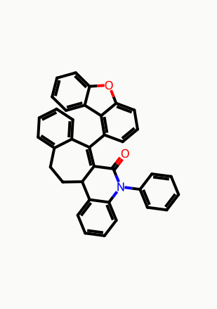 O=C1C2=C(c3cccc4oc5ccccc5c34)c3ccccc3CCC2c2ccccc2N1c1ccccc1